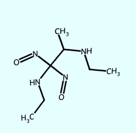 CCNC(C)C(N=O)(N=O)NCC